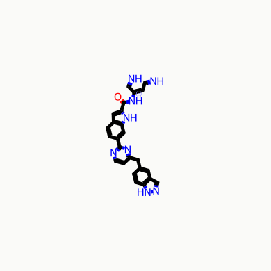 N=C/C=C(\C=N)NC(=O)c1cc2ccc(-c3nccc(Cc4ccc5[nH]ncc5c4)n3)cc2[nH]1